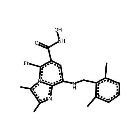 CCc1c(C(=O)NO)cc(NCc2c(C)cccc2C)c2nc(C)c(C)n12